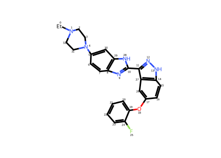 CCN1CCN(c2ccc3nc(-c4n[nH]c5ccc(Oc6ccccc6F)cc45)[nH]c3c2)CC1